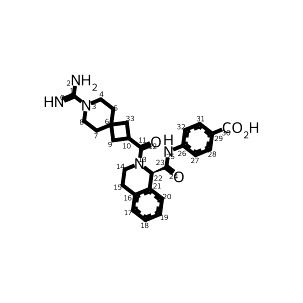 N=C(N)N1CCC2(CC1)CC(C(=O)N1CCc3ccccc3[C@@H]1C(=O)Nc1ccc(C(=O)O)cc1)C2